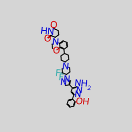 Nc1nnc(-c2ccccc2O)cc1-c1cnn([C@H]2CCN(C3CCC(c4cccc5c4OCCN5[C@@H]4CCC(=O)NC4=O)CC3)CC2(F)F)c1